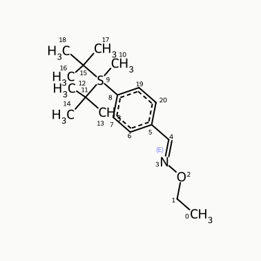 CCO/N=C/c1ccc(S(C)(C(C)(C)C)C(C)(C)C)cc1